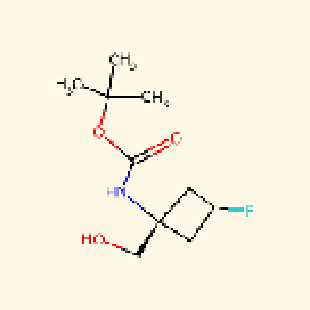 CC(C)(C)OC(=O)N[C@]1(CO)C[C@@H](F)C1